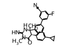 CN1C(=N)N[C@](C)(c2cccc(-c3cc(F)cc(C#N)c3)c2)[C@@H](c2ccc(C3CC3)cc2)C1=O